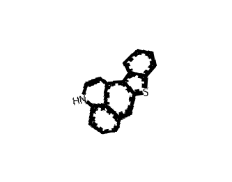 C1=Cc2c3c(cccc3cc3sc4ccccc4c23)N1